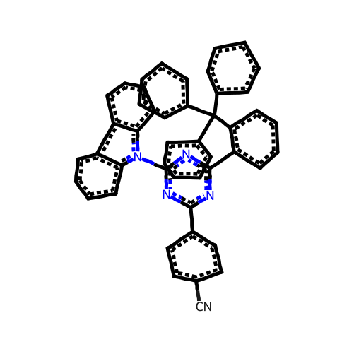 N#Cc1ccc(-c2nc(-c3ccccc3C(c3ccccc3)(c3ccccc3)c3ccccc3)nc(-n3c4ccccc4c4ccccc43)n2)cc1